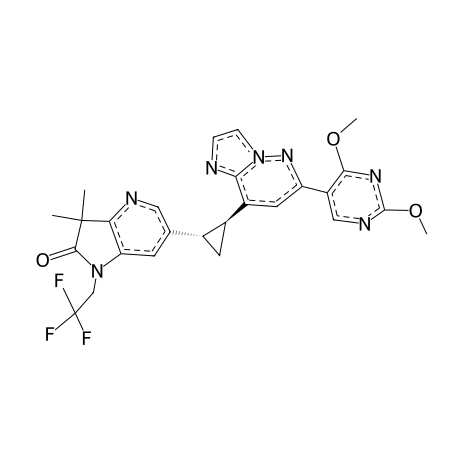 COc1ncc(-c2cc([C@H]3C[C@@H]3c3cnc4c(c3)N(CC(F)(F)F)C(=O)C4(C)C)c3nccn3n2)c(OC)n1